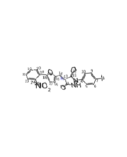 O=C1NN(c2ccc(I)cc2)C(=O)/C1=C/c1ccc(-c2ccccc2[N+](=O)[O-])o1